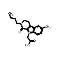 CCCCN1CCc2c(n(CC(=O)O)c3ccc(C)cc23)C1=O